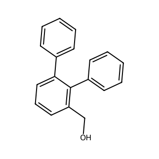 OCc1cccc(-c2ccccc2)c1-c1ccccc1